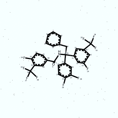 O=C(N[C@](Cc1ccccc1)(c1cc(F)cc(C(F)(F)F)c1)c1ccc(F)c(F)c1)c1ccc(F)c(C(F)(F)F)c1